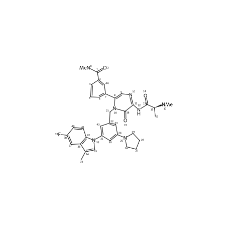 CNC(=O)c1cccc(-c2cnc(NC(=O)[C@H](C)NC)c(=O)n2Cc2cc(N3CCCC3)cc(-n3cc(C)c4cc(F)ccc43)c2)c1